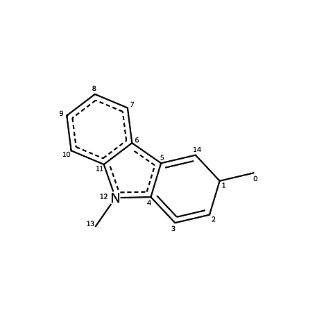 CC1C=C=c2c(c3ccccc3n2C)=C1